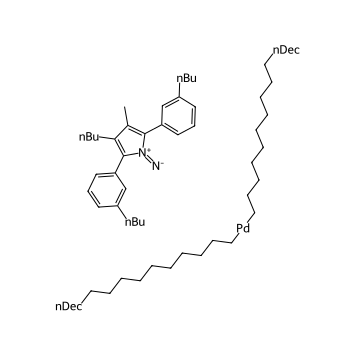 CCCCC1=C(c2cccc(CCCC)c2)[N+](=[N-])C(c2cccc(CCCC)c2)=C1C.CCCCCCCCCCCCCCCCCCC[CH2][Pd][CH2]CCCCCCCCCCCCCCCCCCC